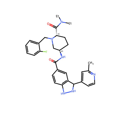 CCN(CC)C(=O)[C@@H]1CC[C@@H](NC(=O)c2ccc3c(c2)C(c2ccnc(C)c2)NN3)CN1Cc1ccccc1F